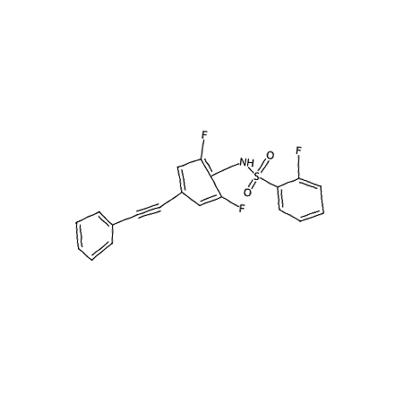 O=S(=O)(Nc1c(F)cc(C#Cc2ccccc2)cc1F)c1ccccc1F